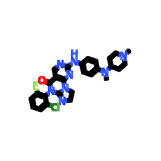 CN1CCC(N(C)c2ccc(Nc3ncc4c(n3)N3CCN=C3N(c3c(F)cccc3Cl)C4=O)cc2)CC1